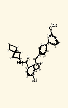 CCOc1cccc(-c2ccc(Cn3ncc4c(Cl)ccc(C(=O)NC5CC6(CCC6)C5)c43)cc2)n1